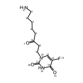 NCCCCCC(=O)CCn1cc(F)c(=O)[nH]c1=O